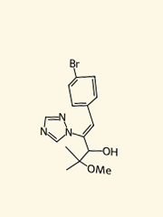 COC(C)(C)C(O)C(=Cc1ccc(Br)cc1)n1cncn1